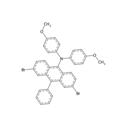 COc1ccc(N(c2ccc(OC)cc2)c2c3ccc(Br)cc3c(-c3ccccc3)c3cc(Br)ccc23)cc1